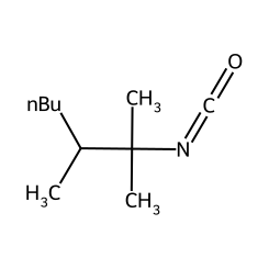 CCCCC(C)C(C)(C)N=C=O